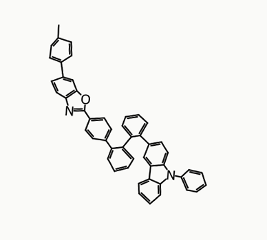 Cc1ccc(-c2ccc3nc(-c4ccc(-c5ccccc5-c5ccccc5-c5ccc6c(c5)c5ccccc5n6-c5ccccc5)cc4)oc3c2)cc1